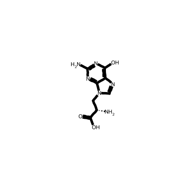 Nc1nc(O)c2ncn(C[C@H](N)C(=O)O)c2n1